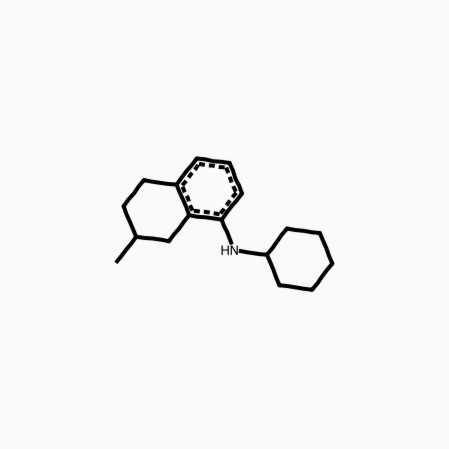 CC1CCc2cccc(NC3CCCCC3)c2C1